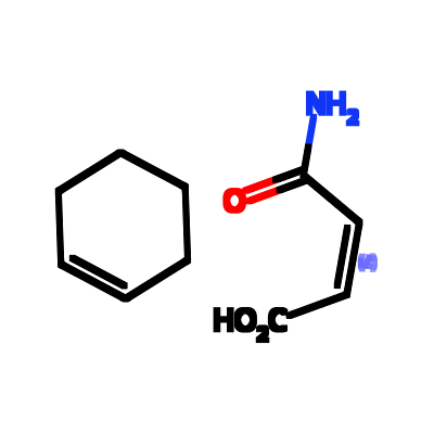 C1=CCCCC1.NC(=O)/C=C\C(=O)O